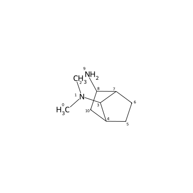 CN(C)C1C2CCC1C(N)C2